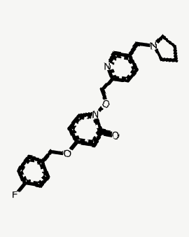 O=c1cc(OCc2ccc(F)cc2)ccn1OCc1ccc(CN2CCCC2)cn1